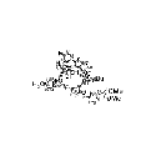 COCC(COC)Oc1nccc(COc2ccc3cc2C[C@H](C(=O)OC(C)(C)C)Oc2ncnc4sc(-c5ccc(F)cc5)c(c24)-c2c(C)c(Cl)c(c(Cl)c2C)O[C@H](CN2CCN(C)CC2)CO3)n1